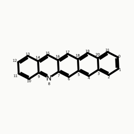 c1ccc2cc3cc4nc5ccccc5cc4cc3cc2c1